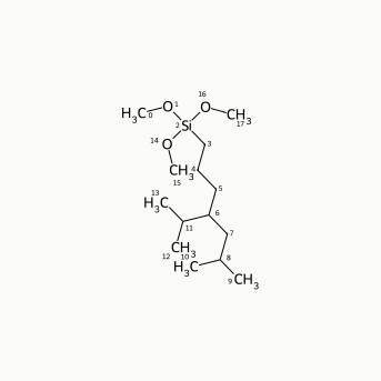 CO[Si](CCCC(CC(C)C)C(C)C)(OC)OC